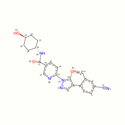 Cc1cc(C#N)ccc1-c1cnn(-c2ccc(C(=O)N[C@H]3CC[C@H](O)CC3)cn2)c1O